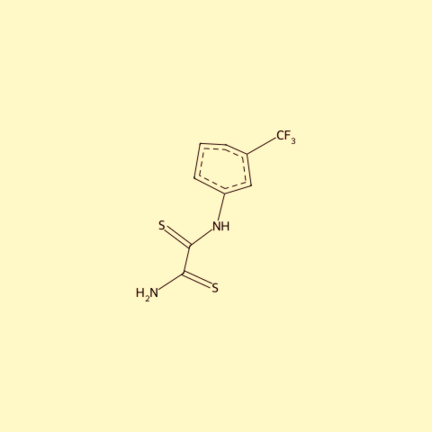 NC(=S)C(=S)Nc1cccc(C(F)(F)F)c1